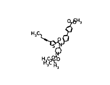 CCCC#Cc1csc(C(=O)N(Cc2ccc(-c3ccc(C(=O)OC)cc3)cc2)C2CCN(C(=O)OC(C)(C)C)CC2)c1